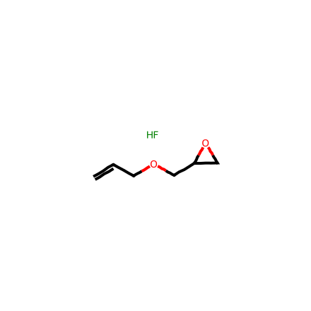 C=CCOCC1CO1.F